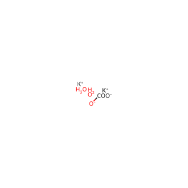 O.O.O=C([O-])[O-].[K+].[K+]